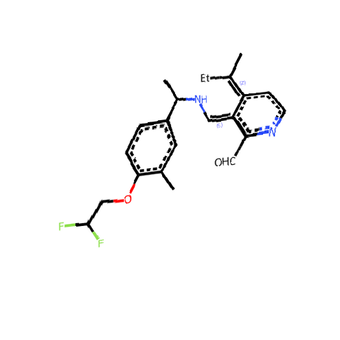 CC/C(C)=c1/ccnc(C=O)/c1=C/NC(C)c1ccc(OCC(F)F)c(C)c1